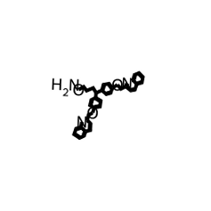 NOCCCC(c1ccc(OCc2ccc3ccccc3n2)cc1)c1ccc(OCc2ccc3ccccc3n2)cc1